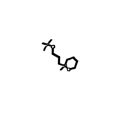 C[Si](C)(C)OCCC[Si]1(C)CCCCO1